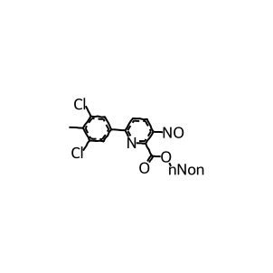 CCCCCCCCCOC(=O)c1nc(-c2cc(Cl)c(C)c(Cl)c2)ccc1N=O